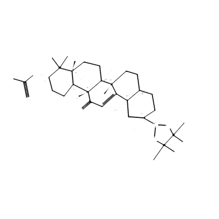 CC(=O)O[C@H]1CC[C@]2(C)[C@H]3C(=O)C=C4[C@@H]5C[C@](C)(B6OC(C)(C)C(C)(C)O6)CC[C@]5(C)CC[C@@]4(C)[C@]3(C)CC[C@H]2C1(C)C